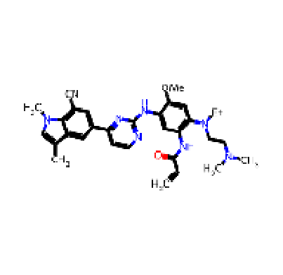 C=CC(=O)Nc1cc(Nc2nccc(-c3cc(C#N)c4c(c3)c(C)cn4C)n2)c(OC)cc1N(CC)CCN(C)C